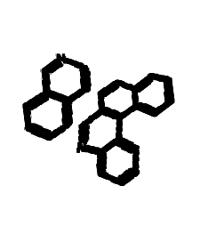 c1ccc2c(c1)ccc1cnc3ccccc3c12.c1ccc2cnccc2c1